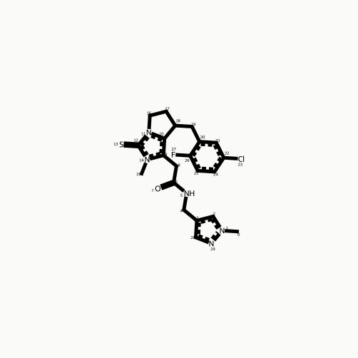 Cn1cc(CNC(=O)Cc2c3n(c(=S)n2C)CCC3Cc2cc(Cl)ccc2F)cn1